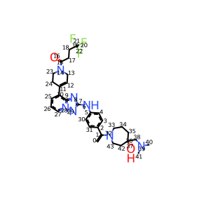 C=C(c1ccc(Nc2nc3c(C4=CCN(C(=O)CCC(F)(F)F)CC4)cccn3n2)cc1)N1CCCC(O)(CN(C)C)CC1